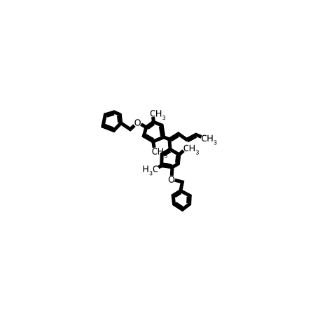 C/C=C/C=C(c1cc(C)c(OCc2ccccc2)cc1C)c1cc(C)c(OCc2ccccc2)cc1C